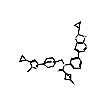 Cn1nc(C23CCC(CN(C(=O)C45CC(F)(C4)C5)c4cccc(-c5cnc6c(c5)SC(C5CC5)N6)c4)(CC2)CC3)cc1C1CC1